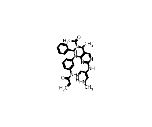 C=CC(=O)Nc1cccc(Nc2nc(N/C(C=N)=C/NC)ncc2C(C)N(Cc2ccccc2)C(C)=O)c1